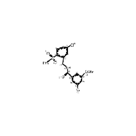 CCS(=O)(=O)c1ccc(Cl)cc1CNC(=O)c1cc(Cl)cc(OC)c1